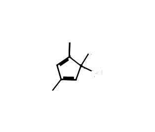 CC1=CC(C)([SiH3])C(C)=C1